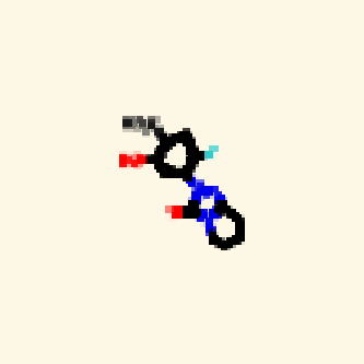 O=C(O)c1cc(F)c(-n2nc3n(c2=O)CCCC3)cc1O